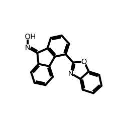 ON=C1c2ccccc2-c2c1cccc2-c1nc2ccccc2o1